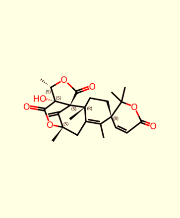 C=C1[C@]23C(=O)O[C@@H](C)[C@]2(O)C(=O)O[C@@]1(C)CC1=C(C)[C@]2(C=CC(=O)OC2(C)C)CC[C@]13C